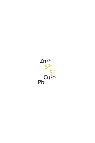 [Cu+2].[Pb].[S-2].[S-2].[Zn+2]